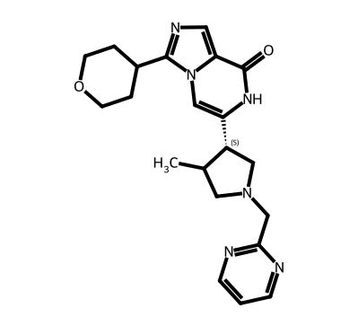 CC1CN(Cc2ncccn2)C[C@H]1c1cn2c(C3CCOCC3)ncc2c(=O)[nH]1